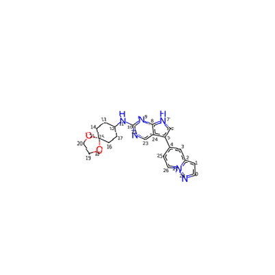 c1cc2cc(-c3c[nH]c4nc(NC5CCC6(CC5)OCCO6)ncc34)ccn2n1